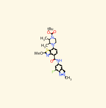 COc1nc2c(C(=O)Nc3cc(F)c4nn(C)cc4c3)ccc(N3CCN(C(=O)OC(C)(C)C)C(C)C3C)c2s1